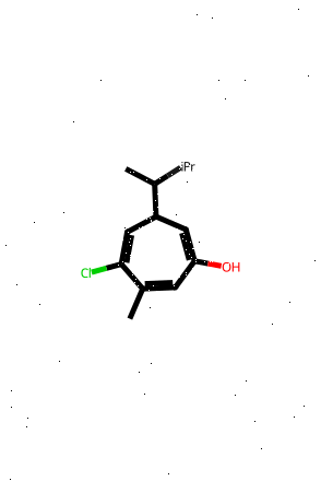 CC1=CC(O)=CC(C(C)C(C)C)C=C1Cl